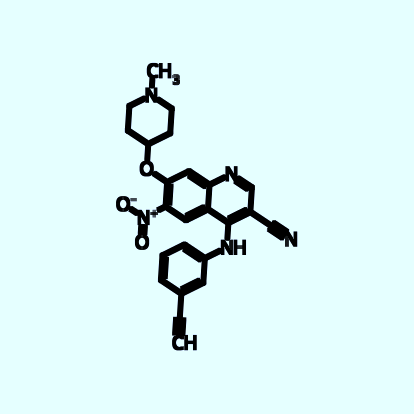 C#Cc1cccc(Nc2c(C#N)cnc3cc(OC4CCN(C)CC4)c([N+](=O)[O-])cc23)c1